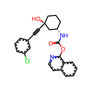 O=C(N[C@H]1CCC[C@@](O)(C#Cc2cccc(Cl)c2)C1)Oc1nccc2ccccc12